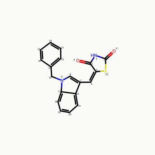 O=C1NC(=O)/C(=C\c2cn(Cc3ccccc3)c3ccccc23)S1